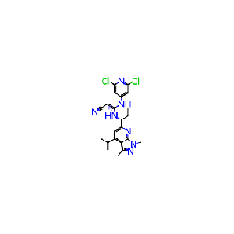 CCC(N/C(=C\C#N)Nc1cc(Cl)nc(Cl)c1)c1cc(C(C)C)c2c(C)nn(C)c2n1